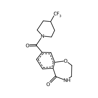 O=C1NCCOc2cc(C(=O)N3CCC(C(F)(F)F)CC3)ccc21